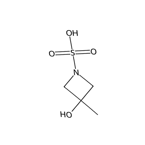 CC1(O)CN(S(=O)(=O)O)C1